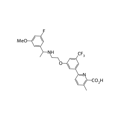 COc1cc(F)cc(C(C)NCCOc2cc(-c3ccc(C)c(C(=O)O)n3)cc(C(F)(F)F)c2)c1